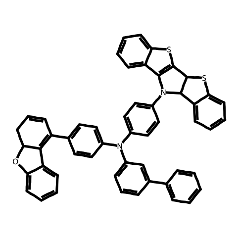 C1=CC(c2ccc(N(c3ccc(N4c5c(sc6ccccc56)C5Sc6ccccc6C54)cc3)c3cccc(-c4ccccc4)c3)cc2)=C2c3ccccc3OC2C1